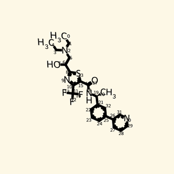 CCN(CC)CC(O)c1nc(C(F)(F)F)c(C(=O)N[C@@H](C)c2cccc(-c3cccnc3)c2)s1